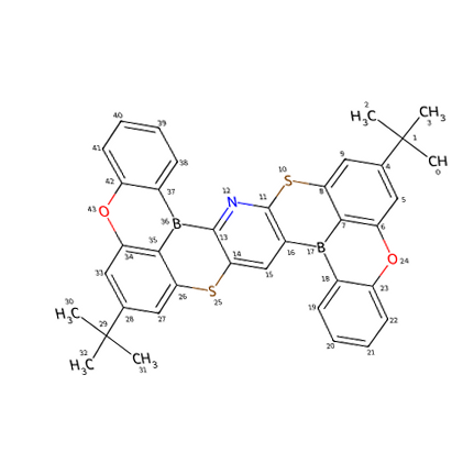 CC(C)(C)c1cc2c3c(c1)Sc1nc4c(cc1B3c1ccccc1O2)Sc1cc(C(C)(C)C)cc2c1B4c1ccccc1O2